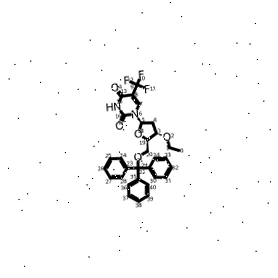 CCO[C@H]1C[C@H](n2cc(C(F)(F)F)c(=O)[nH]c2=O)O[C@@H]1COC(c1ccccc1)(c1ccccc1)c1ccccc1